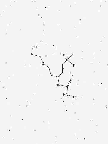 CCNC(=O)NC(CCOCCO)CCC(C)(F)F